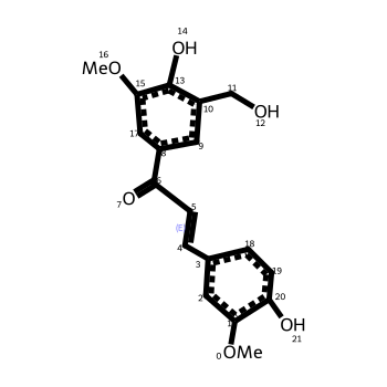 COc1cc(/C=C/C(=O)c2cc(CO)c(O)c(OC)c2)ccc1O